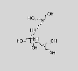 OCCN(CCO)CCCNCCC(CCO)(CCO)NCCCN(CCO)CCO